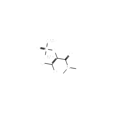 COP(=O)(OC)OC(C(=O)N(C)C)=C(Cl)Cl